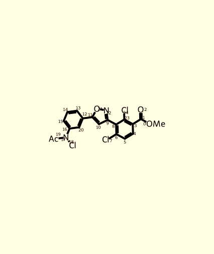 COC(=O)c1ccc(Cl)c(-c2cc(-c3cccc(N(Cl)C(C)=O)c3)on2)c1Cl